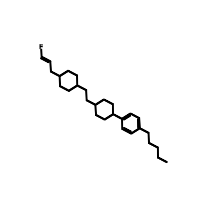 CCCCCc1ccc(C2CCC(CCC3CCC(CC=CF)CC3)CC2)cc1